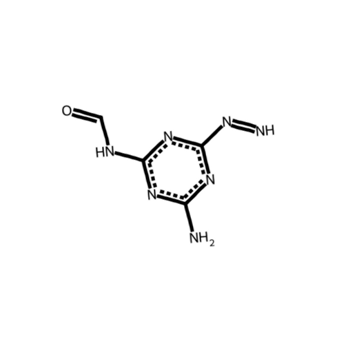 N=Nc1nc(N)nc(NC=O)n1